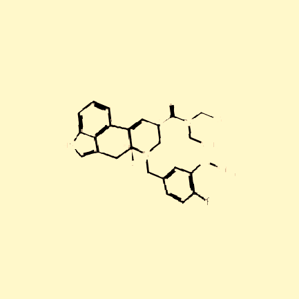 CCN(CC)C(=O)[C@@H]1C=C2c3cccc4[nH]cc(c34)C[C@H]2N(Cc2ccc(F)c(OC)c2)C1